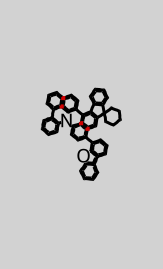 c1ccc(-c2ccccc2N(c2ccc(-c3cccc4c3oc3ccccc34)cc2)c2ccccc2-c2cccc3c2-c2ccccc2C32CCCCC2)cc1